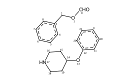 O=COCc1ccccc1.c1ccc(OC2CCNCC2)cc1